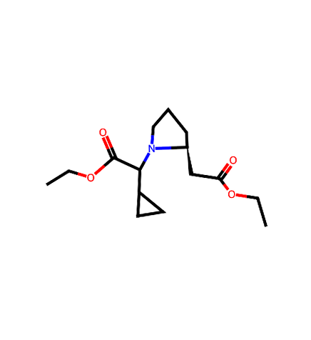 CCOC(=O)C[C@@H]1CCCN1C(C(=O)OCC)C1CC1